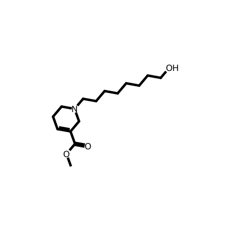 COC(=O)C1=CCCN(CCCCCCCCO)C1